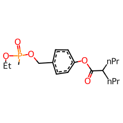 CCCC(CCC)C(=O)Oc1ccc(COP(C)(=O)OCC)cc1